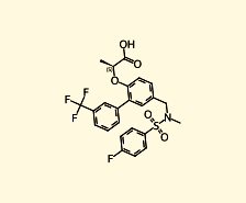 C[C@H](Oc1ccc(CN(C)S(=O)(=O)c2ccc(F)cc2)cc1-c1cccc(C(F)(F)F)c1)C(=O)O